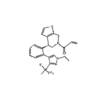 C=CC(=O)N1Cc2sccc2[C@H](c2ccccc2-c2cn(CC)nc2C(C)(F)P)C1